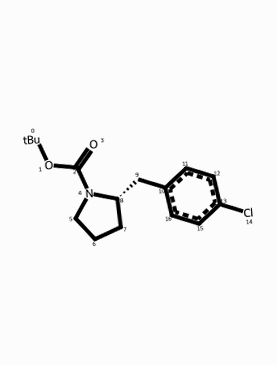 CC(C)(C)OC(=O)N1CCC[C@H]1Cc1ccc(Cl)cc1